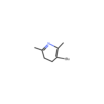 CC1=NC(C)=C(C(C)(C)C)CC1